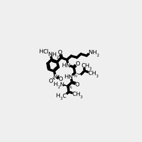 CC(C)C[C@H](NC(=O)[C@H](N)C(C)C)C(=O)NC(CCCCN)C(=O)c1cc([N+](=O)[O-])ccc1N.Cl